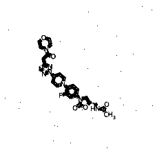 CC(=O)NC[C@H]1CN(c2ccc(N3CCC(n4nnc(CC(=O)N5CCOCC5)n4)CC3)c(F)c2)C(=O)O1